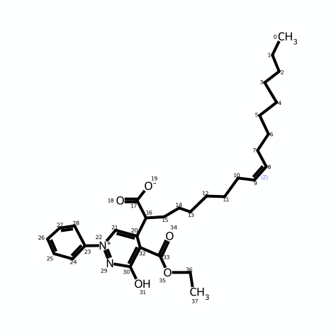 CCCCCCCC/C=C\CCCCCCC(C(=O)[O-])c1c[n+](-c2ccccc2)nc(O)c1C(=O)OCC